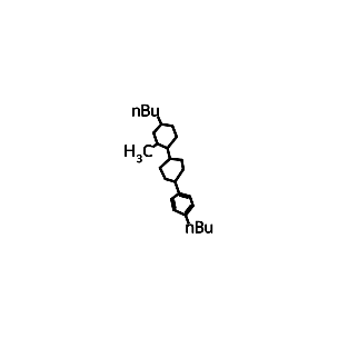 CCCCc1ccc(C2CCC(C3CCC(CCCC)CC3C)CC2)cc1